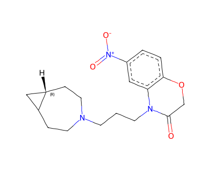 O=C1COc2ccc([N+](=O)[O-])cc2N1CCCN1CCC2C[C@@H]2CC1